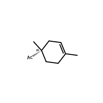 CC(=O)[C@]1(C)CC=C(C)CC1